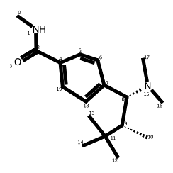 CNC(=O)c1ccc([C@@H]([C@H](C)C(C)(C)C)N(C)C)cc1